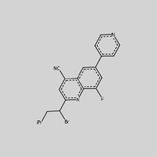 CC(C)CC(Br)c1cc(C#N)c2cc(-c3ccncc3)cc(F)c2n1